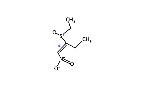 CC/C(=C\[N+](=O)[O-])[S+]([O-])CC